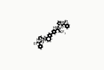 CCN[C@@H](C(=O)N1CCC[C@H]1c1nc2c([nH]1)CCCc1cc(-c3ccc(-c4[nH]c([C@@H]5CCCN5C(=O)[C@H](NCC)c5ccccc5)nc4CC(F)(F)F)cc3)ccc1-2)c1ccccc1